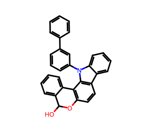 OC1Oc2ccc3c4ccccc4n(-c4cccc(-c5ccccc5)c4)c3c2-c2ccccc21